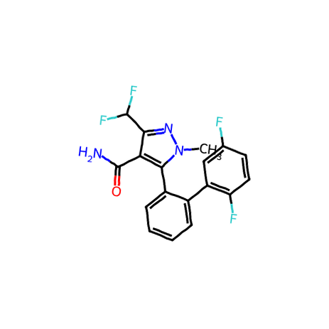 Cn1nc(C(F)F)c(C(N)=O)c1-c1ccccc1-c1cc(F)ccc1F